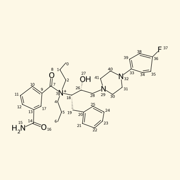 CCC[N+](CCC)(C(=O)c1cccc(C(N)=O)c1)[C@@H](Cc1ccccc1)[C@H](O)CN1CCN(c2ccc(F)cc2)CC1